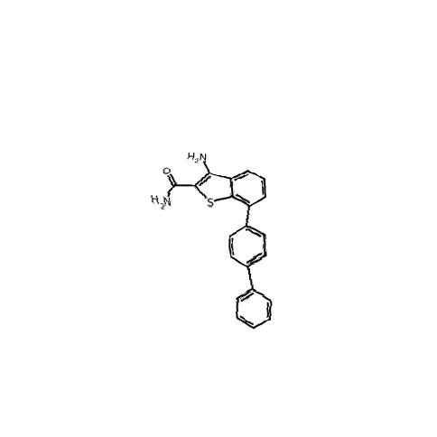 NC(=O)c1sc2c(-c3ccc(-c4ccccc4)cc3)cccc2c1N